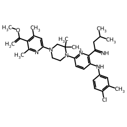 C=C(OC)c1c(C)cc(N2CCN(c3ccc(Nc4ccc(Cl)c(C)c4)c(C(=N)CC(C)C)n3)C(C)(C)C2)nc1C